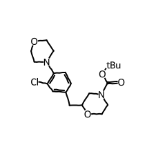 CC(C)(C)OC(=O)N1CCOC(Cc2ccc(N3CCOCC3)c(Cl)c2)C1